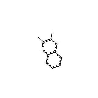 CCc1nc2ccccc2cc1C(C)=O